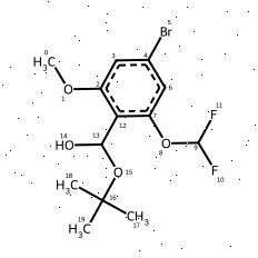 COc1cc(Br)cc(OC(F)F)c1C(O)OC(C)(C)C